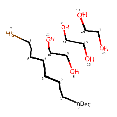 CCCCCCCCCCCCCCCCS.OCCO.OCCO.OCCO